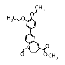 CCOc1ccc(-c2ccc3c(c2)C=C(C(=O)OC)CCN3C=O)cc1OCC